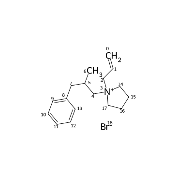 C=CC[N+]1(CC(C)Cc2ccccc2)CCCC1.[Br-]